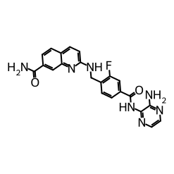 NC(=O)c1ccc2ccc(NCc3ccc(C(=O)Nc4nccnc4N)cc3F)nc2c1